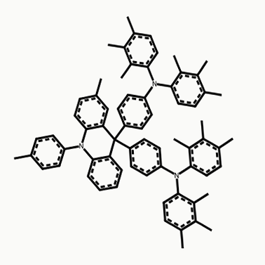 Cc1ccc(N2c3ccccc3C(c3ccc(N(c4ccc(C)c(C)c4C)c4ccc(C)c(C)c4C)cc3)(c3ccc(N(c4ccc(C)c(C)c4C)c4ccc(C)c(C)c4C)cc3)c3cc(C)ccc32)cc1